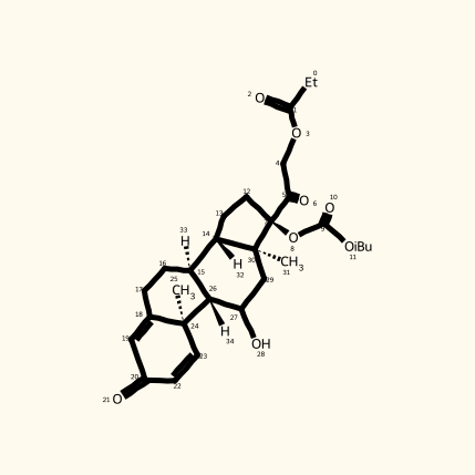 CCC(=O)OCC(=O)[C@@]1(OC(=O)OCC(C)C)CC[C@H]2[C@@H]3CCC4=CC(=O)C=C[C@]4(C)[C@H]3C(O)C[C@@]21C